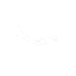 O=CC1CNCCN1c1cc(F)cc(Cn2ncc3cnc(Nc4cnn(CCO)c4)nc32)c1